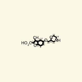 Cc1c(C(=O)O)oc2ccc(OCC3CNCCO3)cc12